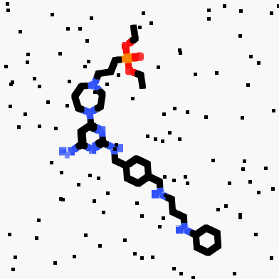 CCOP(=O)(CCCN1CCCN(c2cc(N)nc(NCC3CCC(CNCCCNC4CCCCC4)CC3)n2)CC1)OCC